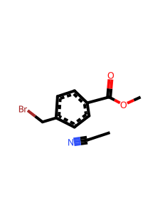 CC#N.COC(=O)c1ccc(CBr)cc1